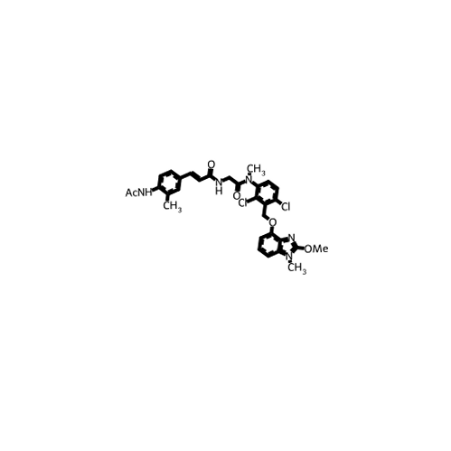 COc1nc2c(OCc3c(Cl)ccc(N(C)C(=O)CNC(=O)/C=C/c4ccc(NC(C)=O)c(C)c4)c3Cl)cccc2n1C